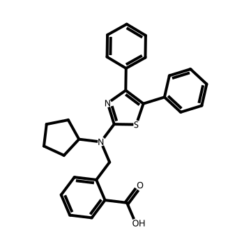 O=C(O)c1ccccc1CN(c1nc(-c2ccccc2)c(-c2ccccc2)s1)C1CCCC1